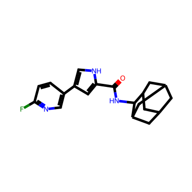 O=C(NC1C2CC3CC(C2)CC1C3)c1cc(-c2ccc(F)nc2)c[nH]1